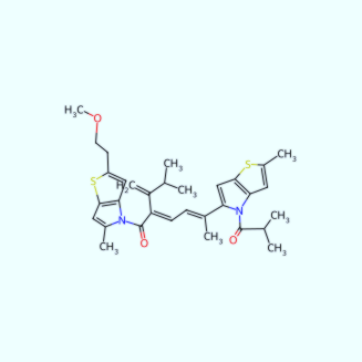 C=C(/C(=C\C=C(/C)c1cc2sc(C)cc2n1C(=O)C(C)C)C(=O)n1c(C)cc2sc(CCOC)cc21)C(C)C